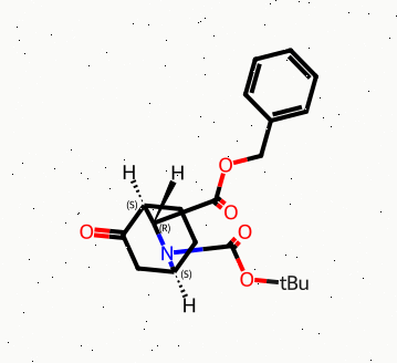 CC(C)(C)OC(=O)N1[C@H]2CC[C@H](C(=O)C2)[C@@H]1C(=O)OCc1ccccc1